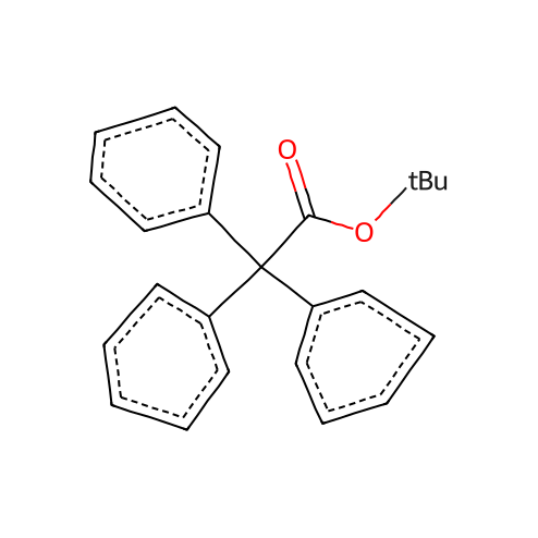 CC(C)(C)OC(=O)C(c1ccccc1)(c1ccccc1)c1ccccc1